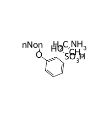 C=C.CCCCCCCCCOc1ccccc1.N.O=S(=O)(O)O